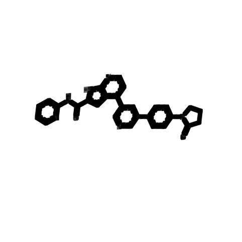 O=C(Nc1ccccn1)c1cc2c(-c3cncc(-c4ccc(N5CCCC5=O)cc4)c3)ccnc2[nH]1